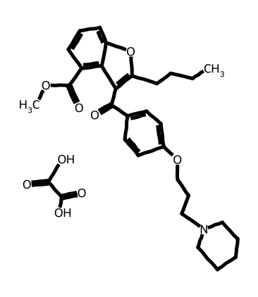 CCCCc1oc2cccc(C(=O)OC)c2c1C(=O)c1ccc(OCCCN2CCCCC2)cc1.O=C(O)C(=O)O